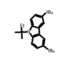 CCC(C)(C)n1c2ccc(C(C)(C)C)cc2c2cc(C(C)(C)C)ccc21